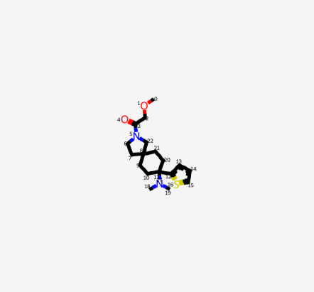 COCC(=O)N1CCC2(CCC(c3cccs3)(N(C)C)CC2)C1